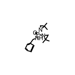 CC1(C)CN1P(=O)(NCc1ccccc1)N1CC1(C)C